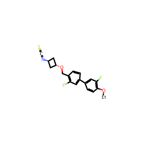 CCOc1ccc(-c2ccc(CO[C@H]3C[C@H](N=C=S)C3)c(F)c2)cc1F